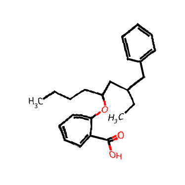 CCCCC(CC(CC)Cc1ccccc1)Oc1ccccc1C(=O)O